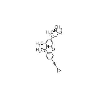 Cc1cc(OCC2(N(C)C)CC2)cc(=O)n1[C@H](C)c1ccc(C#CC2CC2)cc1